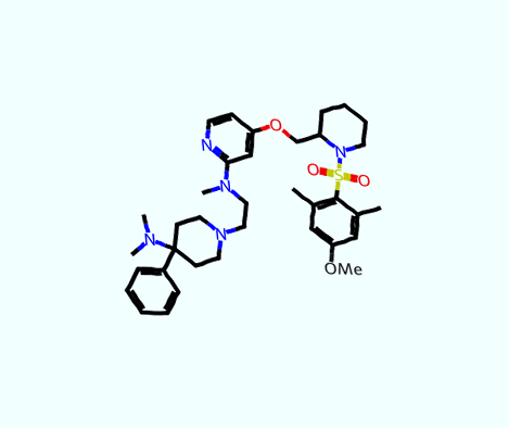 COc1cc(C)c(S(=O)(=O)N2CCCCC2COc2ccnc(N(C)CCN3CCC(c4ccccc4)(N(C)C)CC3)c2)c(C)c1